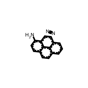 N#N.Nc1ccc2ccc3cccc4ccc1c2c34